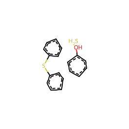 Oc1ccccc1.S.c1ccc(Sc2ccccc2)cc1